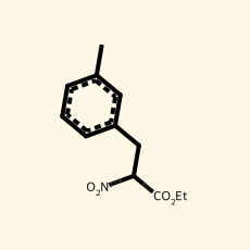 CCOC(=O)C(Cc1cccc(C)c1)[N+](=O)[O-]